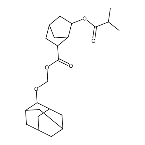 CC(C)C(=O)OC1CC2CC(C(=O)OCOC3C4CC5CC(C4)CC3C5)C1C2